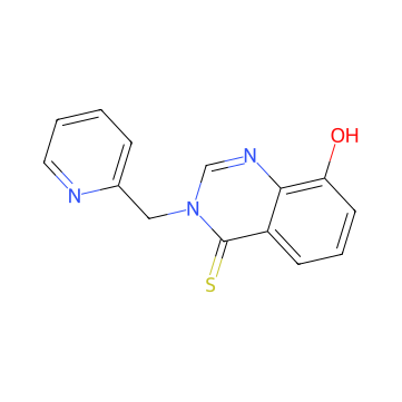 Oc1cccc2c(=S)n(Cc3ccccn3)cnc12